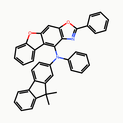 CC1(C)c2ccccc2-c2ccc(N(c3ccccc3)c3c4nc(-c5ccccc5)oc4cc4oc5ccccc5c34)cc21